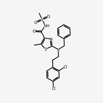 Cc1sc(N(CCc2ccc(Cl)cc2Cl)Cc2ccccc2)nc1C(=O)NS(C)(=O)=O